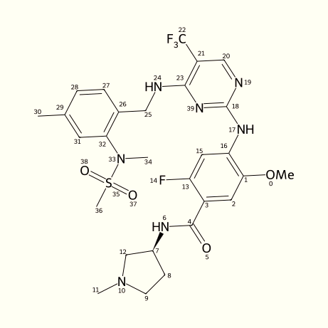 COc1cc(C(=O)N[C@H]2CCN(C)C2)c(F)cc1Nc1ncc(C(F)(F)F)c(NCc2ccc(C)cc2N(C)S(C)(=O)=O)n1